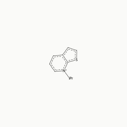 CC(C)[n+]1cccc2ccsc21